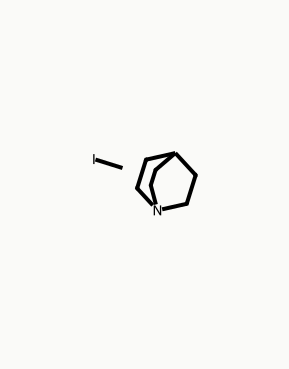 C1CN2CCC1CC2.CI